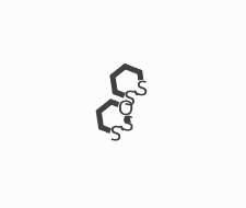 C1CCSSC1.C1COSSC1